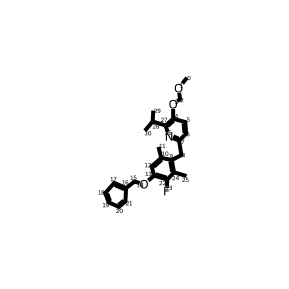 COCOc1ccc(Cc2c(C)cc(OCc3ccccc3)c(F)c2C)nc1C(C)C